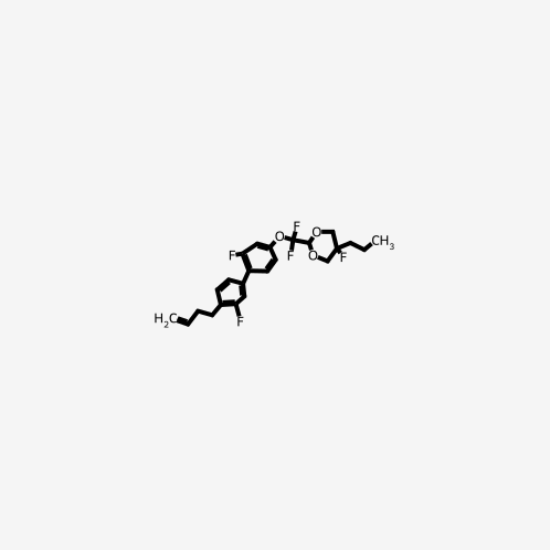 C=CCCc1ccc(-c2ccc(OC(F)(F)C3OCC(F)(CCC)CO3)cc2F)cc1F